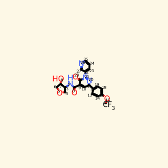 O=C(NC1COCC1O)c1cc(-c2ccc(OC(F)(F)F)cc2)nn(-c2cccnc2)c1=O